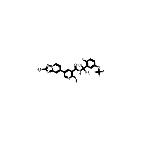 BC(B)(NC(=O)c1cc(-c2ccn3nc(N)nc3c2)cnc1OC)c1cc(OC(F)(F)F)ccc1F